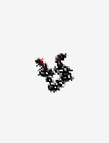 c1cc(-c2ccc(-c3c4ccccc4c(-c4ccc5oc6ccccc6c5c4)c4ccccc34)cc2)c2cc(-c3ccc(-c4cc(-c5c6ccccc6c(-c6ccc7oc8ccccc8c7c6)c6ccccc56)c5ccccc5c4)cc3)ccc2c1